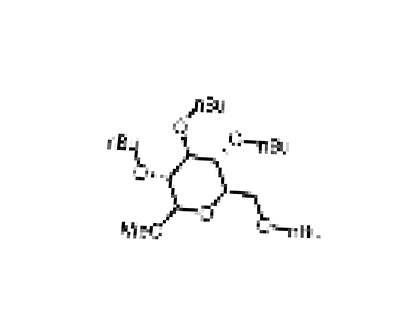 CCCCOC[C@H]1OC(OC)[C@H](OCCCC)[C@@H](OCCCC)[C@@H]1OCCCC